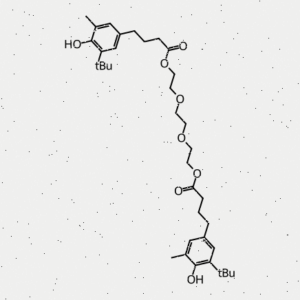 Cc1cc(CCCC(=O)OCCOCCOCCOC(=O)CCCc2cc(C)c(O)c(C(C)(C)C)c2)cc(C(C)(C)C)c1O